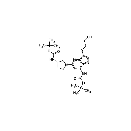 CC(C)(C)OC(=O)Nc1cc(N2CC[C@H](NC(=O)OC(C)(C)C)C2)nc2c(SCCO)cnn12